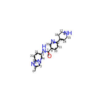 Cc1cn2cc(NC(=O)c3ccc(C4=CCNCC4)nc3)ccc2n1